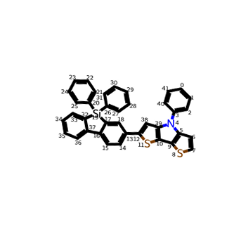 c1ccc(-n2c3ccsc3c3sc(-c4ccc5c(c4)[Si](c4ccccc4)(c4ccccc4)c4ccccc4-5)cc32)cc1